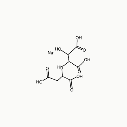 O=C(O)CC(NC(C(=O)O)C(O)C(=O)O)C(=O)O.[Na]